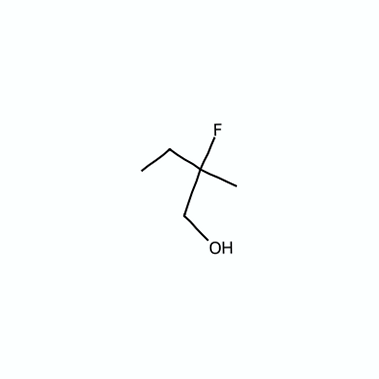 CCC(C)(F)CO